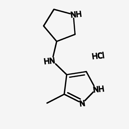 Cc1n[nH]cc1NC1CCNC1.Cl